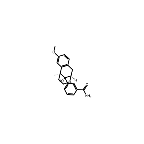 COc1ccc2c(c1)[C@]1(C)CCN(C)[C@H](C2)C1(O)c1cccc(C(N)=O)c1